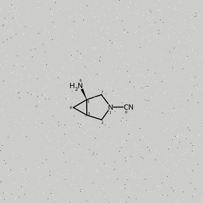 N#CN1CC2C[C@]2(N)C1